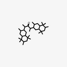 CC1CC2C(CC1C(C)C(=O)C(C)C1CC3C(CC1C)C(C)(C)C(C)CC3(C)C)C(C)(C)CC(C)C2(C)C